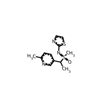 Cc1ccc(C(C)S(C)(=O)=Nc2nccs2)cn1